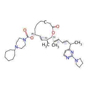 C/C(=C\C=C\C(C)c1ccnc(N2CCCC2)n1)[C@H]1OC(=O)CCCCC[C@@H](OC(=O)N2CCN(C3CCCCCC3)CC2)/C=C/[C@@H]1C